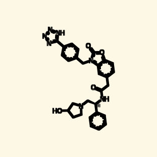 O=C(Cc1ccc2oc(=O)n(Cc3ccc(-c4nnn[nH]4)cc3)c2c1)N[C@H](CN1CCC(O)C1)c1ccccc1